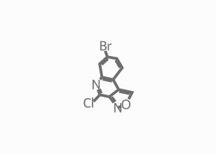 Clc1nc2cc(Br)ccc2c2conc12